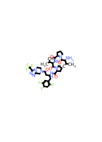 CC(C)C(N)C(=O)N1CCCC1C(=O)NC(C(=O)N1CCCC1C(=O)NC(CC(=O)N1CCn2c(nnc2C(F)(F)F)C1)CC1=C(F)CC(F)C(F)=C1)C(C)C